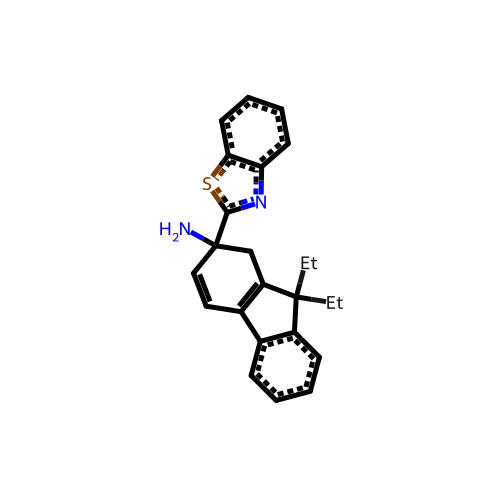 CCC1(CC)C2=C(C=CC(N)(c3nc4ccccc4s3)C2)c2ccccc21